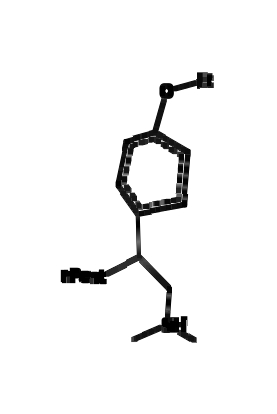 CCCCCC(C[SiH](C)C)c1ccc(OCC)cc1